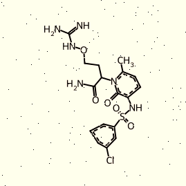 Cc1ccc(NS(=O)(=O)c2cccc(Cl)c2)c(=O)n1C(CCONC(=N)N)C(N)=O